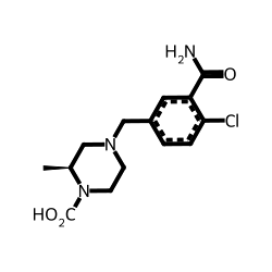 C[C@H]1CN(Cc2ccc(Cl)c(C(N)=O)c2)CCN1C(=O)O